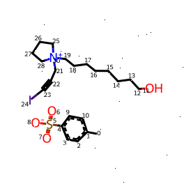 Cc1ccc(S(=O)(=O)[O-])cc1.OCCCCCCCC[N+]1(CC#CI)CCCC1